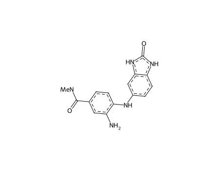 CNC(=O)c1ccc(Nc2ccc3[nH]c(=O)[nH]c3c2)c(N)c1